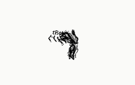 Cc1nc(C(C)(C)C)ccc1C(=O)Nc1ncc(-c2ccc3cnccc3c2)s1